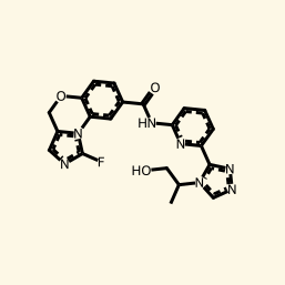 CC(CO)n1cnnc1-c1cccc(NC(=O)c2ccc3c(c2)-n2c(cnc2F)CO3)n1